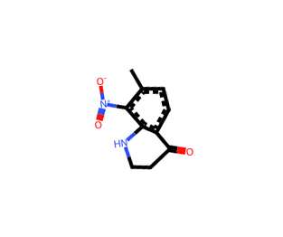 Cc1ccc2c(c1[N+](=O)[O-])NCCC2=O